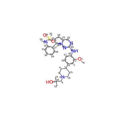 COc1cc(C2CCN(CC(C)(C)O)CC2)ccc1Nc1ncc2ccc(-c3ccccc3N(C)S(C)(=O)=O)n2n1